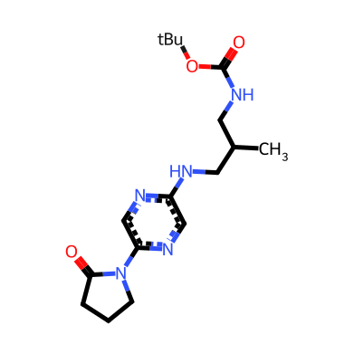 CC(CNC(=O)OC(C)(C)C)CNc1cnc(N2CCCC2=O)cn1